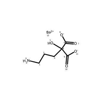 NCCCC(O)(C(=O)[O-])C(=O)[O-].[Ba+2]